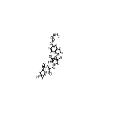 N#C[C@@H]1C[C@@H]2CC2N1C(=O)[C@@H](N)CN1C[C@@H]2C[C@H]1C(=O)N2[C@@H]1CCc2cc(SOON)ccc21